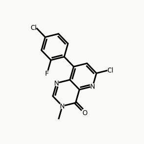 Cn1cnc2c(-c3ccc(Cl)cc3F)cc(Cl)nc2c1=O